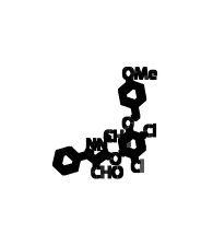 COc1ccc(COc2cc(Oc3c(C=O)c(-c4ccccc4)nn3C)c(Cl)cc2Cl)cc1